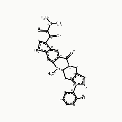 COc1cc2[nH]cc(C(=O)C(=O)N(C)C)c2cc1C(=O)N1CCc2c(cnn2-c2ccccc2Cl)C1